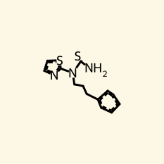 NC(=S)N(CCCc1ccccc1)c1nccs1